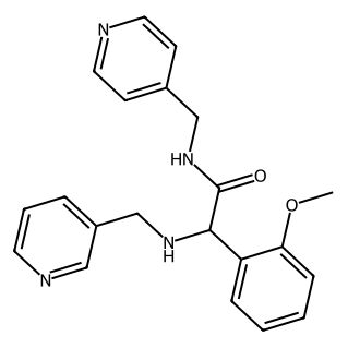 COc1ccccc1C(NCc1cccnc1)C(=O)NCc1ccncc1